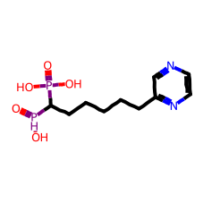 O=[PH](O)C(CCCCCc1cnccn1)P(=O)(O)O